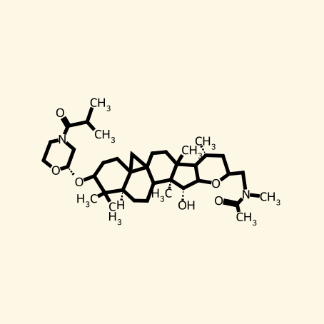 CC(=O)N(C)CC1C[C@@H](C)C2C(O1)[C@H](O)[C@@]1(C)C3CC[C@H]4C(C)(C)C(O[C@H]5CN(C(=O)C(C)C)CCO5)CCC45CC35CCC21C